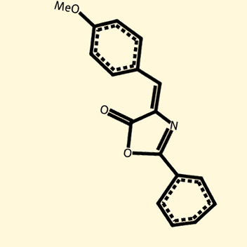 COc1ccc(C=C2N=C(c3ccccc3)OC2=O)cc1